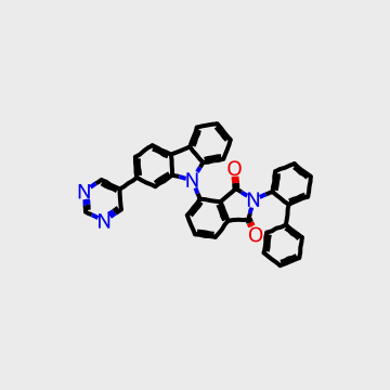 O=C1c2cccc(-n3c4ccccc4c4ccc(-c5cncnc5)cc43)c2C(=O)N1c1ccccc1-c1ccccc1